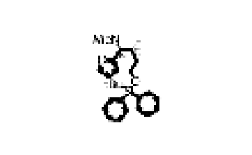 CN[C@H](c1ccco1)[C@H](C)CCO[Si](c1ccccc1)(c1ccccc1)C(C)(C)C